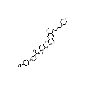 COc1cc2c(Oc3ccc(NC(=O)N4C=CN(c5ccc(Cl)cc5)C4)cc3F)ccnc2cc1OCCCN1CCOCC1